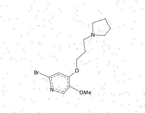 COc1cnc(Br)cc1OCCCN1CCCC1